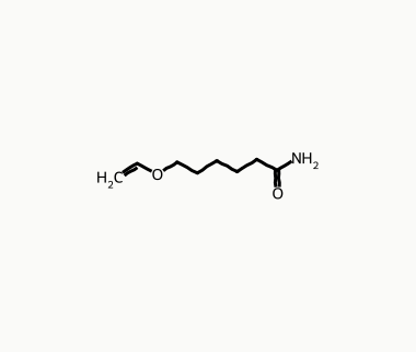 C=COCCCCCC(N)=O